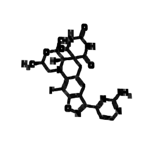 C[C@@H]1CN2c3c(cc4c(-c5ccnc(N)n5)noc4c3F)CC3(C(=O)NC(=O)NC3=O)[C@H]2[C@H](C)O1